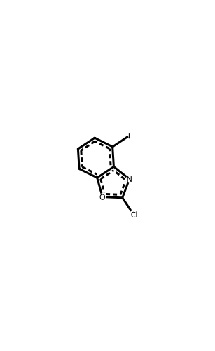 Clc1nc2c(I)cccc2o1